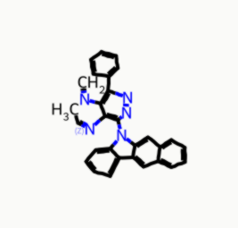 C=Nc1c(-c2ccccc2)nnc(-n2c3ccccc3c3cc4ccccc4cc32)c1/N=C\C